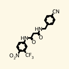 N#Cc1ccc(CNC(=O)CC(=O)Nc2ccc([N+](=O)[O-])c(C(F)(F)F)c2)cc1